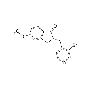 COc1ccc2c(c1)CC(Cc1ccncc1Br)C2=O